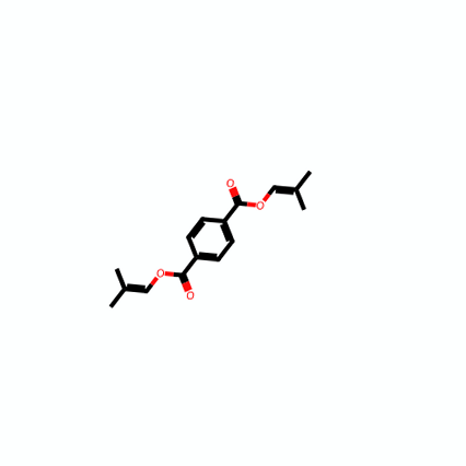 CC(C)=COC(=O)c1ccc(C(=O)OC=C(C)C)cc1